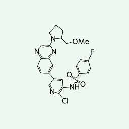 COCC1CCCN1c1cnc2ccc(-c3cnc(Cl)c(NS(=O)(=O)c4ccc(F)cc4)c3)cc2n1